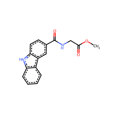 COC(=O)CNC(=O)c1ccc2[nH]c3ccccc3c2c1